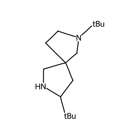 CC(C)(C)C1CC2(CCN(C(C)(C)C)C2)CN1